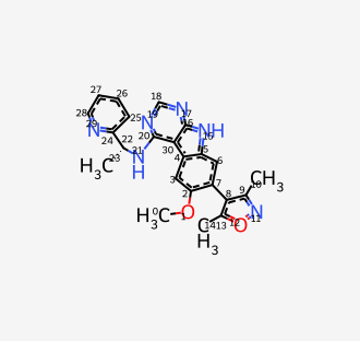 COc1cc2c(cc1-c1c(C)noc1C)[nH]c1ncnc(N[C@H](C)c3ccccn3)c12